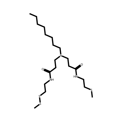 CCCCCCCCN(CCC(=O)NCCSC)CCC(=O)NCCSSC